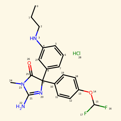 CCCNc1cccc(C2(c3ccc(OC(F)F)cc3)N=C(N)N(C)C2=O)c1.Cl